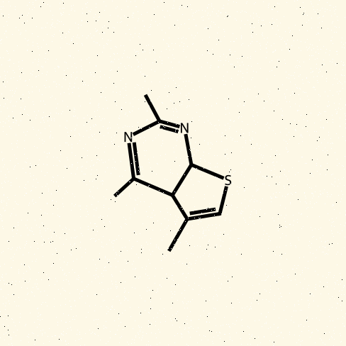 CC1=CSC2N=C(C)N=C(C)C12